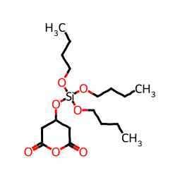 CCCCO[Si](OCCCC)(OCCCC)OC1CC(=O)OC(=O)C1